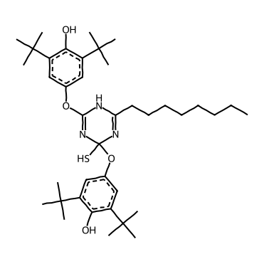 CCCCCCCCC1=NC(S)(Oc2cc(C(C)(C)C)c(O)c(C(C)(C)C)c2)N=C(Oc2cc(C(C)(C)C)c(O)c(C(C)(C)C)c2)N1